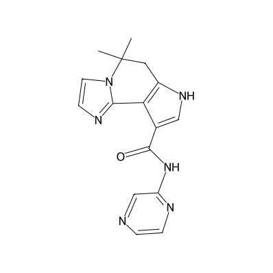 CC1(C)Cc2[nH]cc(C(=O)Nc3cnccn3)c2-c2nccn21